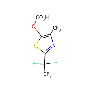 O=C(O)Oc1sc(C(F)(F)C(F)(F)F)nc1C(F)(F)F